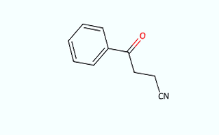 N#CCCC(=O)c1ccccc1